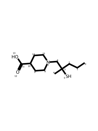 CCCC(C)(S)CN1CCC(C(=O)O)CC1